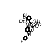 CCOc1cccc([C@@H](Oc2ccc3c(cnn3-c3ccc(F)cc3)c2)[C@H](C)NC(=O)C(N)=O)c1OCC